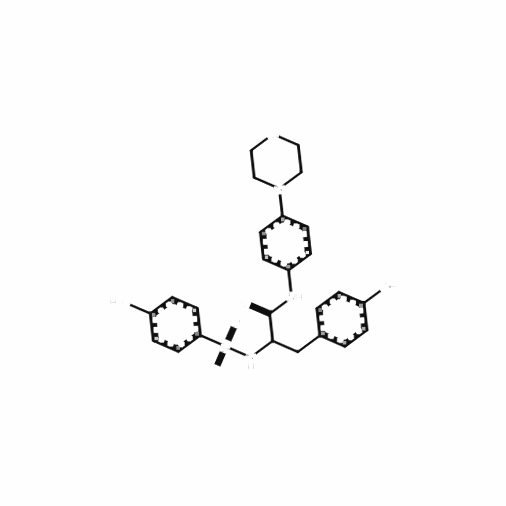 Cc1ccc(S(=O)(=O)NC(Cc2ccc(O)cc2)C(=O)Nc2ccc(N3CCOCC3)cc2)cc1